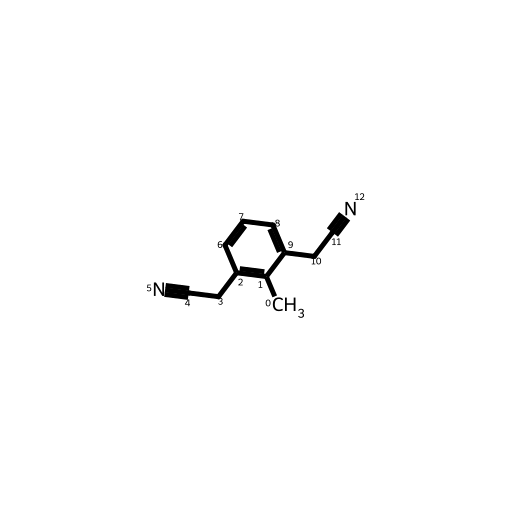 Cc1c(CC#N)cccc1CC#N